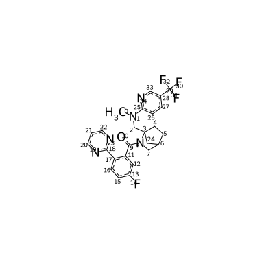 CN(CC12CCC(CN1C(=O)c1cc(F)ccc1-c1ncccn1)C2)c1ccc(C(F)(F)F)cn1